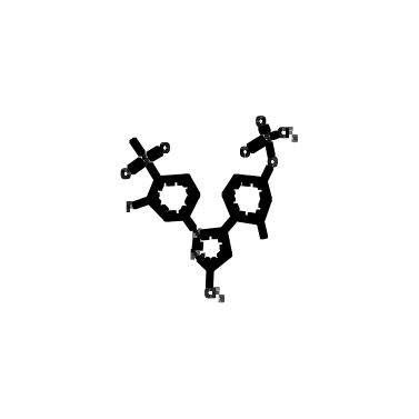 Cc1cc(OS(=O)(=O)C(F)(F)F)ccc1-c1cc(C(F)(F)F)nn1-c1ccc(S(C)(=O)=O)c(F)c1